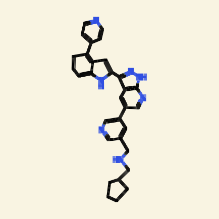 c1cc(-c2ccncc2)c2cc(-c3n[nH]c4ncc(-c5cncc(CNCC6CCCC6)c5)cc34)[nH]c2c1